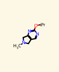 CC(C)Oc1ncc2c(n1)CN(C)C2